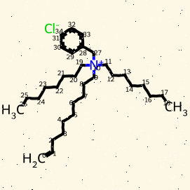 C=CCCCCCCCC[N+](CCCCCCCC)(CCCCCCCC)Cc1ccccc1.[Cl-]